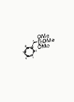 C[O][Ti]([CH2]c1ccccc1)([O]C)[O]C